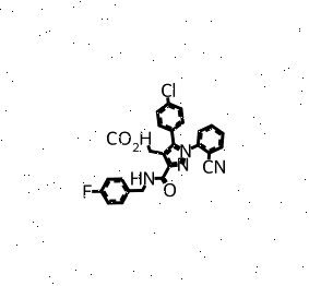 N#Cc1ccccc1-n1nc(C(=O)NCc2ccc(F)cc2)c(CC(=O)O)c1-c1ccc(Cl)cc1